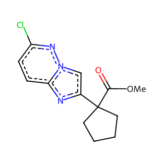 COC(=O)C1(c2cn3nc(Cl)ccc3n2)CCCC1